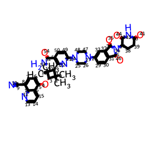 CC1(C)[C@H](Oc2ccc(C#N)c3ncccc23)C(C)(C)[C@H]1c1nc(N2CCN(c3ccc4c(c3)C(=O)N(C3CCC(=O)NC3=O)C4=O)CC2)ccc1C(N)=O